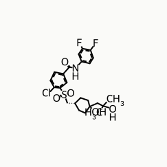 CC(C)(O)C[C@]1(O)CC[C@H](CS(=O)(=O)c2cc(C(=O)Nc3ccc(F)c(F)c3)ccc2Cl)CC1